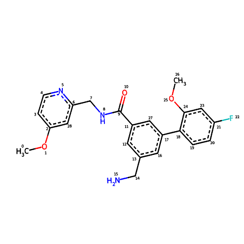 COc1ccnc(CNC(=O)c2cc(CN)cc(-c3ccc(F)cc3OC)c2)c1